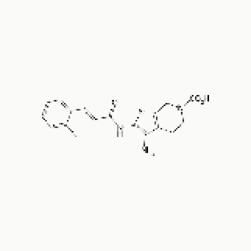 Cc1ccccc1/C=C/C(=O)Nc1sc2c(c1N)CCN(C(=O)O)C2